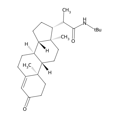 CC(C(=O)NC(C)(C)C)[C@H]1CC[C@H]2[C@@H]3CCC4=CC(=O)CC[C@]4(C)[C@H]3CC[C@]12C